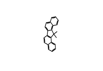 CC1(C)c2c(ccc3ccccc23)-c2ccc3ccccc3c21